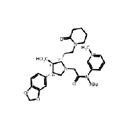 CCCCN(C(=O)CN1C[C@H](c2ccc3c(c2)OCO3)[C@@H](C(=O)O)[C@@H]1CCN1CCCCC1=O)c1ccc[n+](C)c1